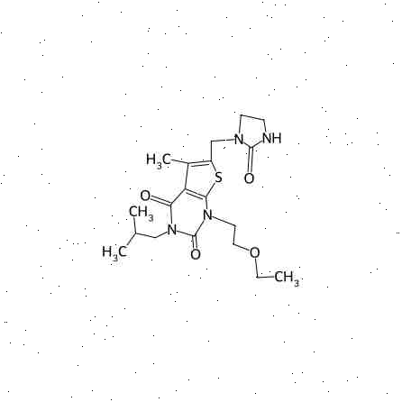 CCOCCn1c(=O)n(CC(C)C)c(=O)c2c(C)c(CN3CCNC3=O)sc21